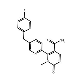 Cn1c(-c2ccc(Cc3ccc(F)cc3)cn2)c(C(N)=O)ccc1=O